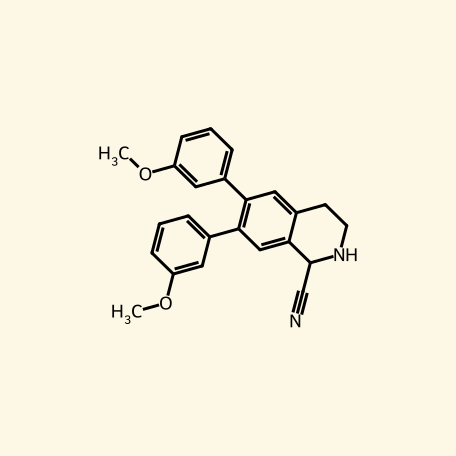 COc1cccc(-c2cc3c(cc2-c2cccc(OC)c2)C(C#N)NCC3)c1